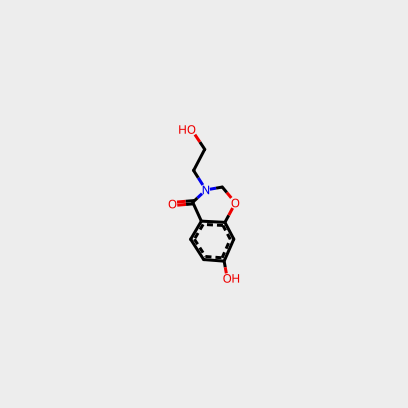 O=C1c2ccc(O)cc2OCN1CCO